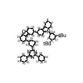 CC(C)(C)c1cc(-n2c3ccccc3c3cc(-c4ccc5oc6cccc(-c7cccc(-c8nc(-c9ccccc9)nc(-c9ccccc9)n8)c7)c6c5c4)ccc32)cc(C(C)(C)C)c1